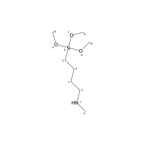 CNCCCC[Si](OC)(OC)OC